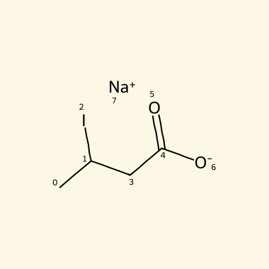 CC(I)CC(=O)[O-].[Na+]